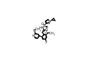 COc1cc(-c2cc(F)cc(C(C)C)c2CC(=O)NS(=O)(=O)c2ccn(C3CC3)n2)ccn1